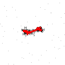 CCc1cc2c(cc1N1CC(C)N(CCCCCC(=O)NCCCCCNc3cccc4c(=C=O)n(C5CCC(=C=O)NC5=C=O)c(=C=O)c34)C(C)C1)C(C)(C)c1[nH]c3cc(C#N)ccc3c1C2=C=O